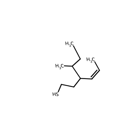 C/C=C\C(CCS)C(C)CC